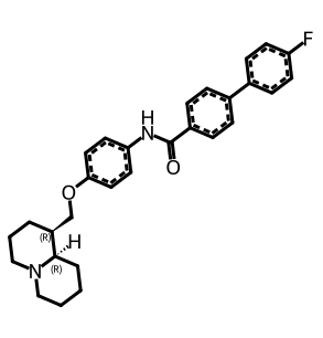 O=C(Nc1ccc(OC[C@@H]2CCCN3CCCC[C@H]23)cc1)c1ccc(-c2ccc(F)cc2)cc1